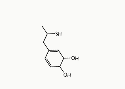 CC(S)CC1=CC(O)C(O)C=C1